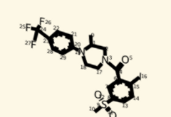 CC1CN(C(=O)c2cc(S(C)(=O)=O)ccc2I)CCN1c1ccc(C(F)(F)F)cc1